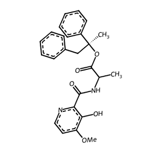 COc1ccnc(C(=O)NC(C)C(=O)O[C@@](C)(Cc2ccccc2)c2ccccc2)c1O